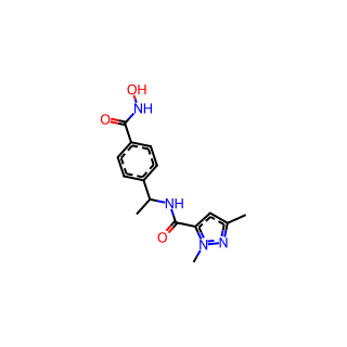 Cc1cc(C(=O)NC(C)c2ccc(C(=O)NO)cc2)n(C)n1